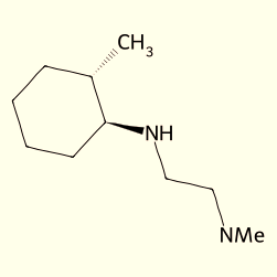 CNCCN[C@H]1CCCC[C@@H]1C